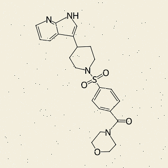 O=C(c1ccc(S(=O)(=O)N2CCC(c3c[nH]c4ncccc34)CC2)cc1)N1CCOCC1